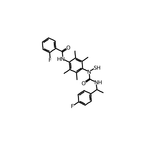 Cc1c(C)c(N(S)C(=O)NC(C)c2ccc(F)cc2)c(C)c(C)c1NC(=O)c1ccccc1F